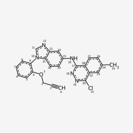 C#CCOc1ccccc1-n1cnc2cc(Nc3nnc(Cl)c4cc(C)ccc34)ccc21